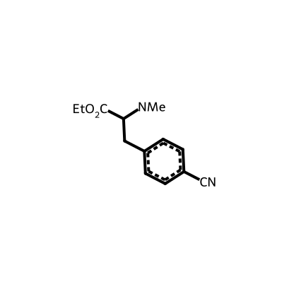 CCOC(=O)C(Cc1ccc(C#N)cc1)NC